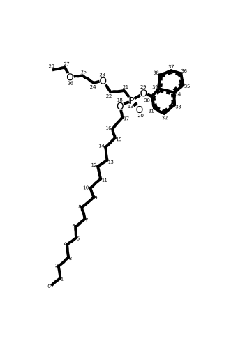 CCCCCCCCCCCCCCCCCCOP(=O)(CCOCCOCC)Oc1cccc2ccccc12